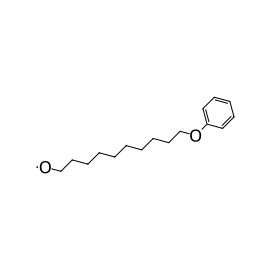 [O]CCCCCCCCCCOc1ccccc1